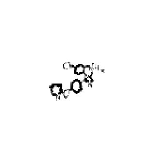 CN1Cc2cc(Cl)ccc2-n2c(cnc2[C@H]2CC[C@H](Oc3ccccn3)CC2)C1